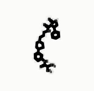 CC(C)C(=O)Nc1cccc(C2CCN(CCCNC(=O)N3C(=O)OCC3c3ccccc3)CC2)c1